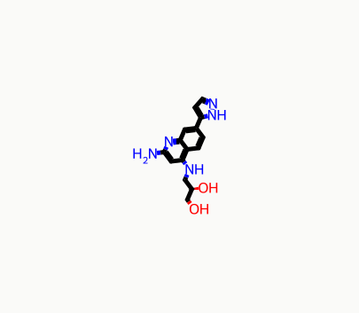 Nc1cc(NC[C@@H](O)CO)c2ccc(-c3ccn[nH]3)cc2n1